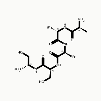 CC(C)[C@H](NC(=O)[C@H](C)N)C(=O)N[C@H](C(=O)N[C@@H](CO)C(=O)N[C@@H](CO)C(=O)O)C(C)C